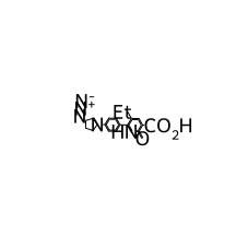 CCc1cc(C(=O)O)c(=O)[nH]c1-c1ccc(N2CCC(N=[N+]=[N-])C2)cc1